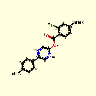 CCCCCCc1ccc(C(=O)Oc2cnc(-c3ccc(CCC)cc3)cn2)c(F)c1